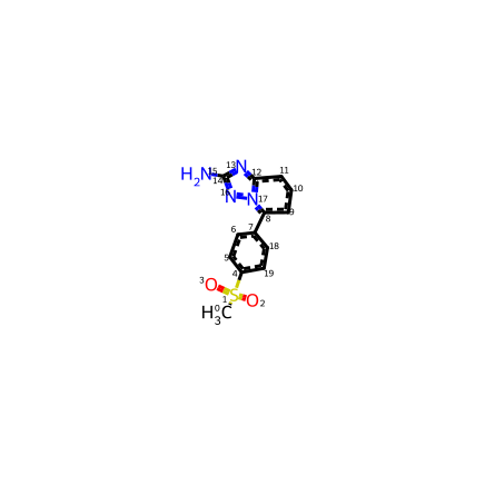 CS(=O)(=O)c1ccc(-c2cccc3nc(N)nn23)cc1